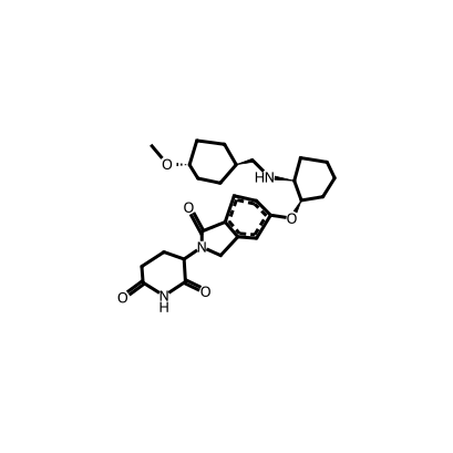 CO[C@H]1CC[C@H](CN[C@H]2CCCC[C@H]2Oc2ccc3c(c2)CN(C2CCC(=O)NC2=O)C3=O)CC1